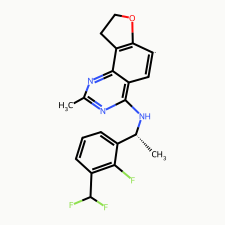 Cc1nc(N[C@H](C)c2cccc(C(F)F)c2F)c2c[c]c3c(c2n1)CCO3